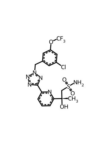 C[C@](O)(CS(N)(=O)=O)c1cccc(-c2nnn(Cc3cc(Cl)cc(OC(F)(F)F)c3)n2)n1